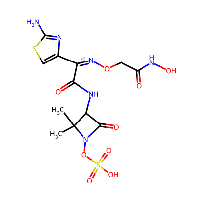 CC1(C)C(NC(=O)/C(=N\OCC(=O)NO)c2csc(N)n2)C(=O)N1OS(=O)(=O)O